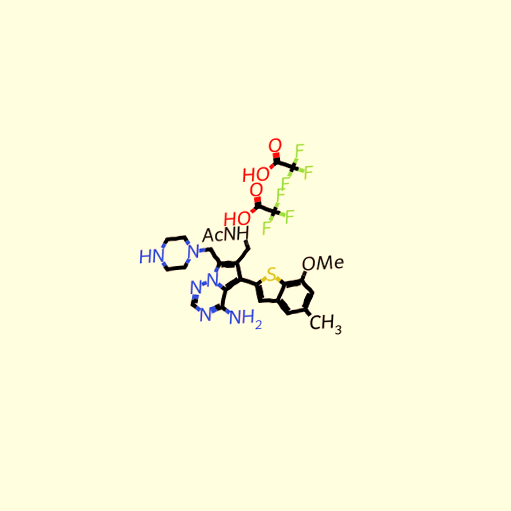 COc1cc(C)cc2cc(-c3c(CNC(C)=O)c(CN4CCNCC4)n4ncnc(N)c34)sc12.O=C(O)C(F)(F)F.O=C(O)C(F)(F)F